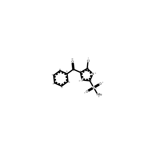 CCCCS(=O)(=O)c1nc(Cl)c(C(=O)c2ccccc2)s1